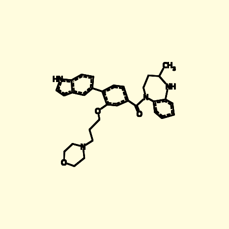 CC1CCN(C(=O)c2ccc(-c3ccc4[nH]ccc4c3)c(OCCCN3CCOCC3)c2)c2ccccc2N1